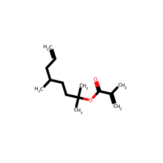 C=CCC(C)CCC(C)(C)OC(=O)C(=C)C